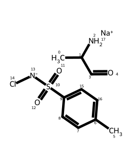 CC(N)C=O.Cc1ccc(S(=O)(=O)[N-]Cl)cc1.[Na+]